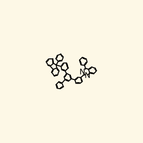 c1ccc(-c2cc(-c3cccc(-c4nc(-c5ccccc5)c5ccccc5n4)c3)cc(-c3cccc(C4(c5ccccc5)c5ccccc5-c5ccccc54)c3)c2)cc1